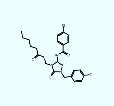 CCCCCC(=O)OCN1C(=O)N(Cc2ccc(Cl)cc2)SC1NC(=O)c1ccc(Cl)cc1